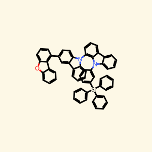 c1ccc([Si](c2ccccc2)(c2ccccc2)c2cccc(-n3c4ccccc4c4cccc(-n5c6ccccc6c6cc(-c7cccc8oc9ccccc9c78)ccc65)c43)c2)cc1